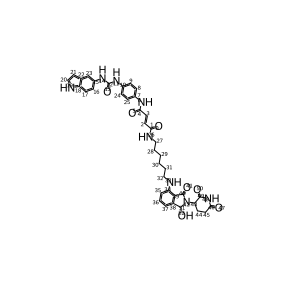 O=C(/C=C/C(=O)Nc1ccc(NC(=O)Nc2ccc3[nH]ccc3c2)cc1)NCCCCCCNc1cccc2c1C(=O)N(C1CCC(=O)NC1=O)C2O